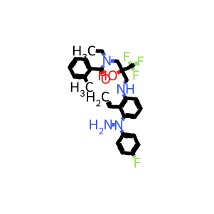 C=Cc1c(NCC(O)(CN(CC)C(=O)c2ccccc2C)C(F)(F)F)cccc1N(N)c1ccc(F)cc1